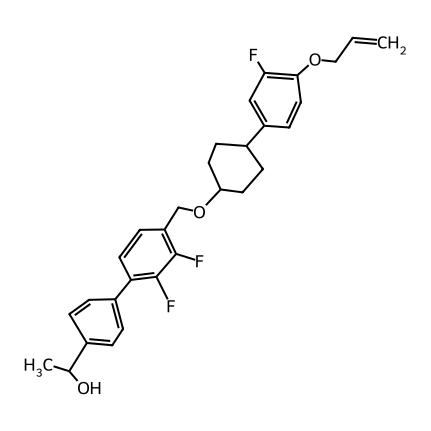 C=CCOc1ccc(C2CCC(OCc3ccc(-c4ccc(C(C)O)cc4)c(F)c3F)CC2)cc1F